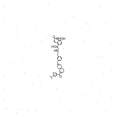 CC(C)c1cc(C(=O)N2CCCC3(CCN(Cc4cccc(CCNC[C@H](O)c5ccc(O)c6[nH]c(=O)ccc56)c4)CC3)C2)cs1